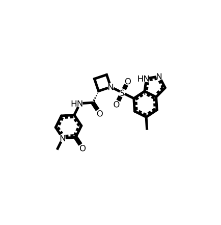 Cc1cc(S(=O)(=O)N2CC[C@H]2C(=O)Nc2ccn(C)c(=O)c2)c2[nH]ncc2c1